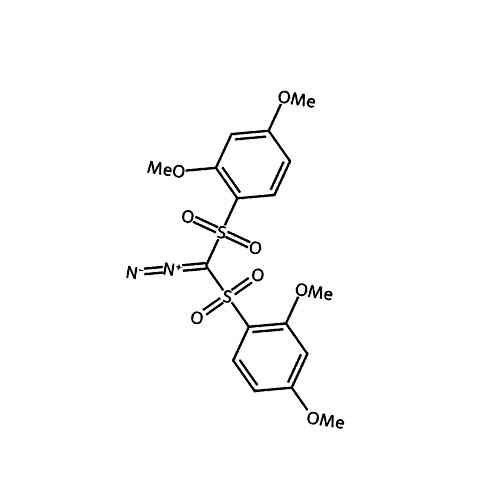 COc1ccc(S(=O)(=O)C(=[N+]=[N-])S(=O)(=O)c2ccc(OC)cc2OC)c(OC)c1